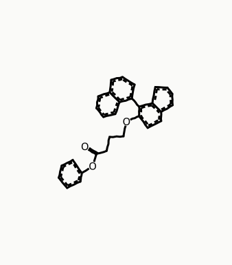 O=C(CCCOc1ccc2ccccc2c1-c1cccc2ccccc12)Oc1ccccc1